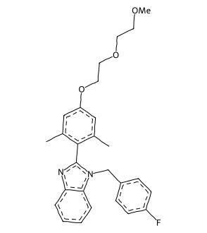 COCCOCCOc1cc(C)c(-c2nc3ccccc3n2Cc2ccc(F)cc2)c(C)c1